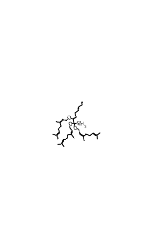 CCCCCCC(OCC=C(C)CCC=C(C)C)C([SiH3])(OCC=C(C)CCC=C(C)C)OCC=C(C)CCC=C(C)C